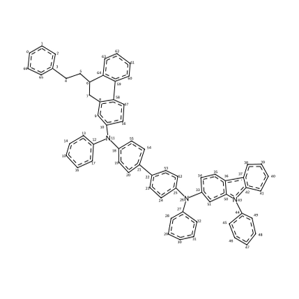 c1ccc(CCC2Cc3cc(N(c4ccccc4)c4ccc(-c5ccc(N(c6ccccc6)c6ccc7c8ccccc8n(-c8ccccc8)c7c6)cc5)cc4)ccc3-c3ccccc32)cc1